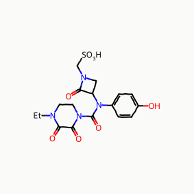 CCN1CCN(C(=O)N(c2ccc(O)cc2)C2CN(CS(=O)(=O)O)C2=O)C(=O)C1=O